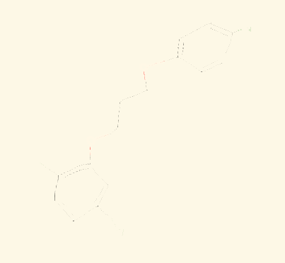 Clc1ccc(Cl)c(OCCCOc2ccc(Br)cc2)c1